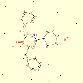 O=C(OCc1ccccc1)[C@H](Cc1ccccc1)NC(=O)N1CCC(O)CC1